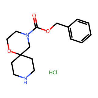 Cl.O=C(OCc1ccccc1)N1CCOC2(CCNCC2)C1